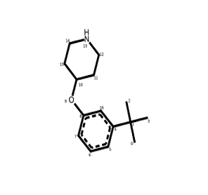 CC(C)(C)c1cccc(OC2CCNCC2)c1